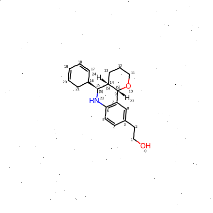 OCCc1ccc2c(c1)[C@H]1OCCC[C@H]1[C@H](C1C=CC=CC1)N2